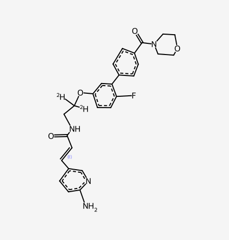 [2H]C([2H])(CNC(=O)/C=C/c1ccc(N)nc1)Oc1ccc(F)c(-c2ccc(C(=O)N3CCOCC3)cc2)c1